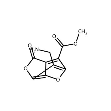 COC(=O)c1c2c3oc1c(CN)c3OC2=O